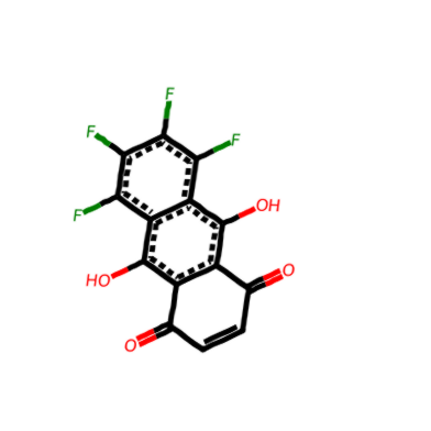 O=C1C=CC(=O)c2c1c(O)c1c(F)c(F)c(F)c(F)c1c2O